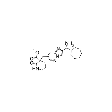 COC(=O)C1(Cc2cnn3cc([C@@H](N)C4CCCCCC4)nc3c2)CCCNC1=O